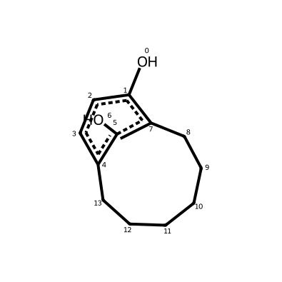 Oc1ccc2c(O)c1CCCCCC2